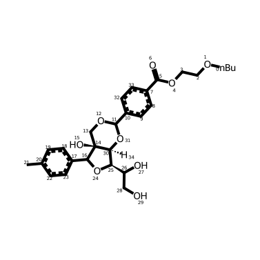 CCCCOCCOC(=O)c1ccc(C2OC[C@@]3(O)C(c4ccc(C)cc4)O[C@H](C(O)CO)[C@@H]3O2)cc1